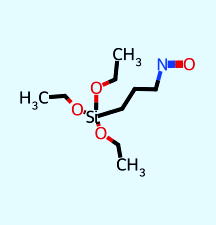 CCO[Si](CCCN=O)(OCC)OCC